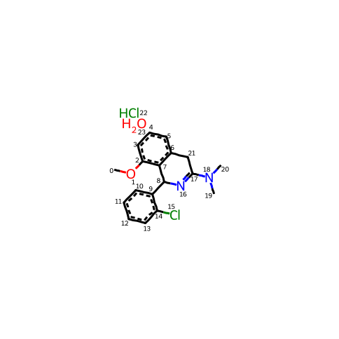 COc1cccc2c1C(c1ccccc1Cl)N=C(N(C)C)C2.Cl.O